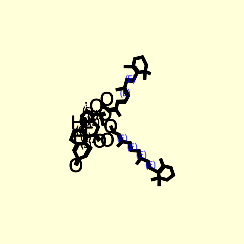 CC(C=C/C=C(C)/C=C/C1=C(C)CCCC1(C)C)=CC(=O)O[C@@]1(C(=O)COC(=O)/C=C(C)/C=C/C=C(C)/C=C/C2=C(C)CCCC2(C)C)[C@@H](C)C[C@@H]2[C@@H]3CCC4=CC(=O)C=C[C@]4(C)[C@@]3(F)C(=O)C[C@@]21C